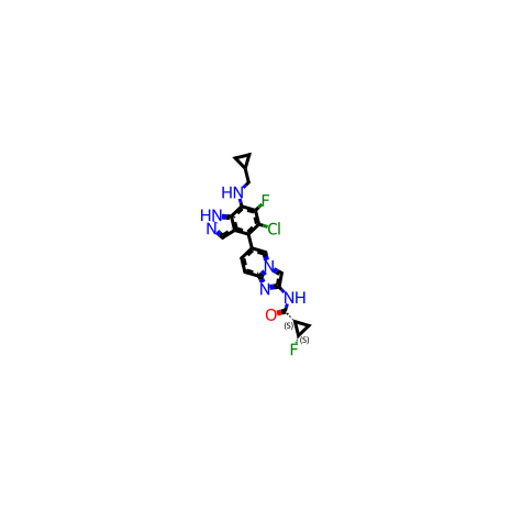 O=C(Nc1cn2cc(-c3c(Cl)c(F)c(NCC4CC4)c4[nH]ncc34)ccc2n1)[C@@H]1C[C@@H]1F